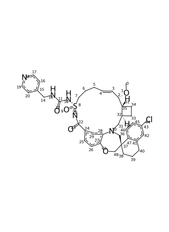 CO[C@H]1/C=C/CCC[S@@](=O)(NC(=O)NCc2ccncc2)=NC(=O)c2ccc3c(c2)N(C[C@@H]2CC[C@H]21)C[C@@]1(CCCc2cc(Cl)ccc21)CO3